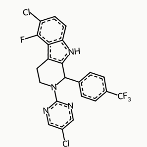 Fc1c(Cl)ccc2[nH]c3c(c12)CCN(c1ncc(Cl)cn1)C3c1ccc(C(F)(F)F)cc1